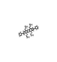 SCCc1c2cc3c(CCS)c4sc(-c5ccccc5)cc4c(CCS)c3cc2c(CCS)c2sc(-c3ccccc3)cc12